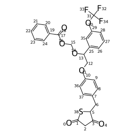 O=C1CC(=O)C(Cc2ccc(OCC(OCOC(=O)c3ccccc3)c3cccc(OC(F)(F)F)c3)cc2)S1